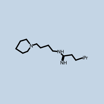 CC(C)CCC(=N)NCCCCN1CCCCC1